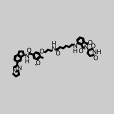 COc1cc(C(=O)N[C@@H]2CCc3ccc(-c4cn5c(n4)CCC5)cc32)cc(OCCCNC(=O)CCCCCNc2cccc3c2C(=O)N(C2CCC(=O)NC2=O)C3=O)c1C